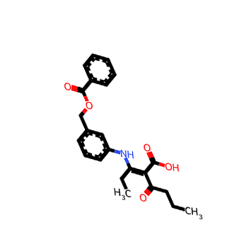 CCCC(=O)C(C(=O)O)=C(CC)Nc1cccc(COC(=O)c2ccccc2)c1